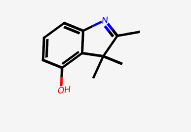 CC1=Nc2cccc(O)c2C1(C)C